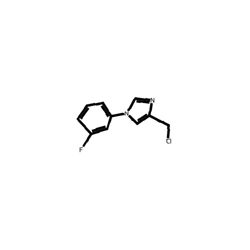 Fc1cccc(-n2cnc(CCl)c2)c1